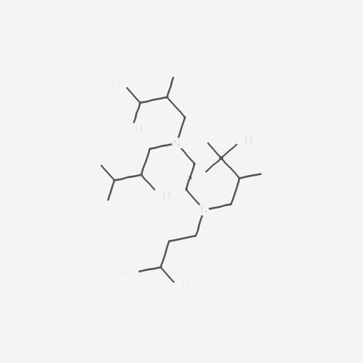 CC(C)CCN(CCN(CC(C)C(C)C)CC(C)C(C)C)CC(C)C(C)(C)C